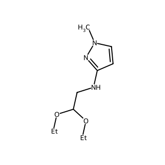 CCOC(CNc1ccn(C)n1)OCC